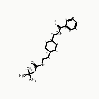 CC(C)(C)OC(=O)NCCN1CCC(CNC(=O)c2ccccc2)CC1